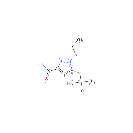 CCCn1nc(C(N)=O)cc1CC(C)(C)O